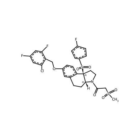 CS(=O)(=O)CC(=O)N1CC[C@@]2(S(=O)(=O)c3ccc(F)cc3)c3ccc(OCc4c(F)cc(F)cc4Cl)cc3CC[C@@H]12